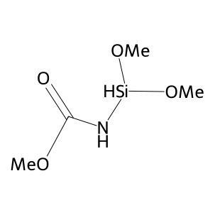 COC(=O)N[SiH](OC)OC